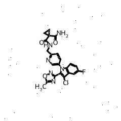 Cc1nc(-c2c(Cl)c3cc(F)ccc3n2-c2ccc(CNC(=O)C3(C(N)=O)CC3)nc2)no1